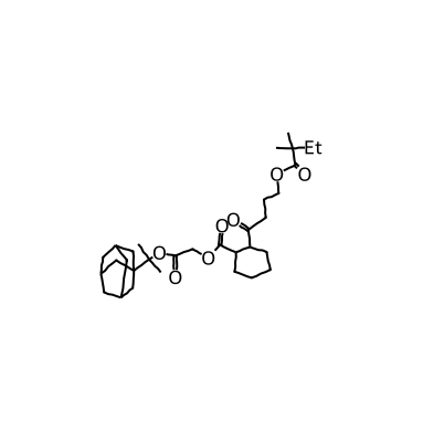 CCC(C)(C)C(=O)OCCCC(=O)C1CCCCC1C(=O)OCC(=O)OC(C)(C)C12CC3CC(CC(C3)C1)C2